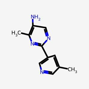 Cc1cncc(-c2ncc(N)c(C)n2)c1